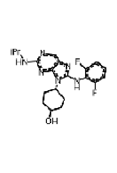 CC(C)Nc1ncc2nc(Nc3c(F)cccc3F)n([C@H]3CC[C@H](O)CC3)c2n1